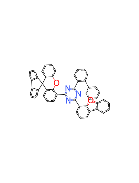 c1ccc(-c2ccccc2-c2nc(-c3cccc4c3Oc3ccccc3C43c4ccccc4-c4ccccc43)nc(-c3cccc4c3oc3ccccc34)n2)cc1